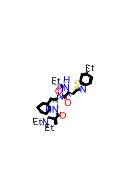 C=C(CN(CC)CC)C(=O)NC[C@H](CC1CCCCC1)NC(=O)[C@H](Cc1nc2ccc(CC)cc2s1)NC(=O)CC